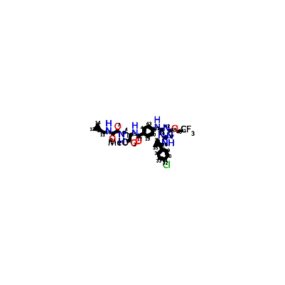 COC(=O)[C@H](CNC(=O)C(=O)NCC1CC1)NC(=O)c1ccc(Nc2nc(NC3(c4ccc(Cl)cc4)CC3)nc(OCC(F)(F)F)n2)cc1